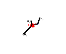 CCCCCCCC/C=C\CCCCCCCC(=O)C(O)(C(O)CCCCC)C(O)C(=O)CCCCCCCCCCCCCCCCC